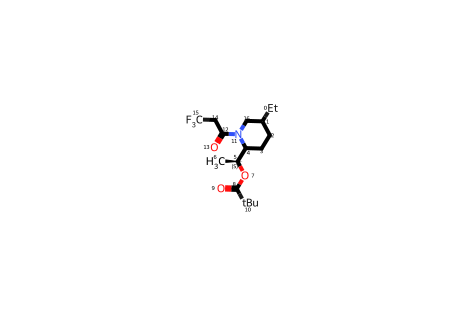 CCC1CCC([C@H](C)OC(=O)C(C)(C)C)N(C(=O)CC(F)(F)F)C1